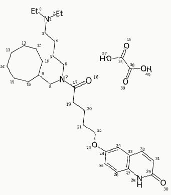 CCN(CC)CCCCN(CC1CCCCCCC1)C(=O)CCCCOc1ccc2[nH]c(=O)ccc2c1.O=C(O)C(=O)O